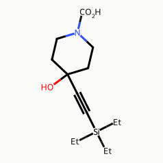 CC[Si](C#CC1(O)CCN(C(=O)O)CC1)(CC)CC